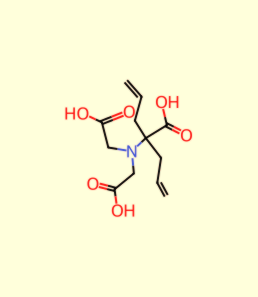 C=CCC(CC=C)(C(=O)O)N(CC(=O)O)CC(=O)O